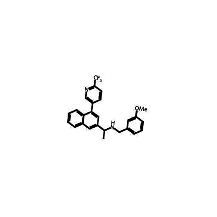 COc1cccc(CNC(C)c2cc(-c3ccc(C(F)(F)F)nc3)c3ccccc3c2)c1